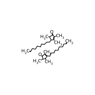 C=CCCCCCCCCC1=C(C)C(=O)C(C)C1C.C=CCCCCCCCCC1C(C)=C(C)C(=O)C1C